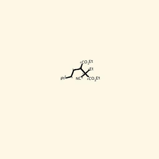 CCOC(=O)C(CCC(C)C)C(C#N)(CC)C(=O)OCC